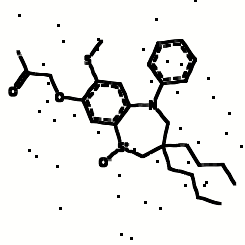 CCCCC1(CCCC)CN(c2ccccc2)c2cc(SC)c(OCC(C)=O)cc2[S+]([O-])C1